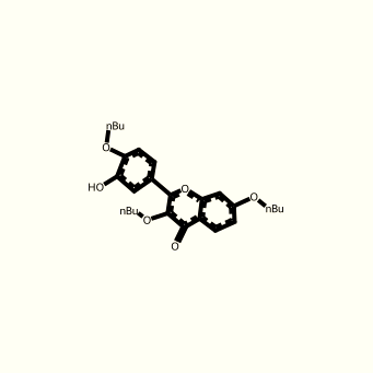 CCCCOc1ccc2c(=O)c(OCCCC)c(-c3ccc(OCCCC)c(O)c3)oc2c1